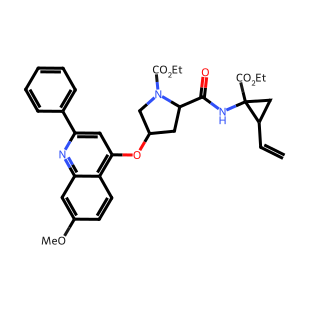 C=CC1CC1(NC(=O)C1CC(Oc2cc(-c3ccccc3)nc3cc(OC)ccc23)CN1C(=O)OCC)C(=O)OCC